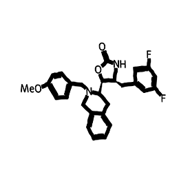 COc1ccc(CN2Cc3ccccc3CC2[C@H]2OC(=O)N[C@H]2Cc2cc(F)cc(F)c2)cc1